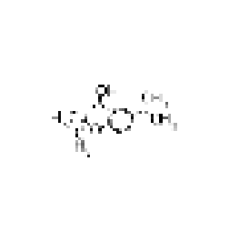 CC(C)c1ccc2c(c1)[C@H](O)CC(C)(C)O2